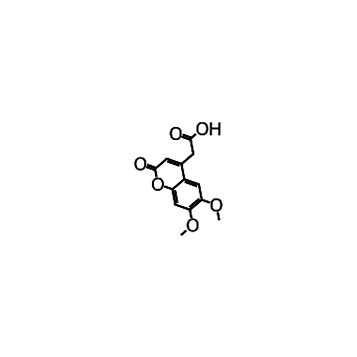 COc1cc2oc(=O)cc(CC(=O)O)c2cc1OC